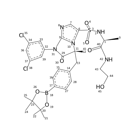 C[C@H](NS(=O)(=O)c1cnc2n1[C@](C)(Cc1ccc(B3OC(C)(C)C(C)(C)O3)cc1)C(=O)N2c1cc(Cl)cc(Cl)c1)C(=O)NCCO